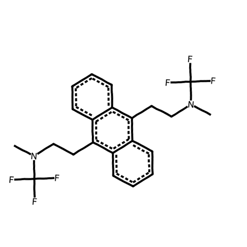 CN(CCc1c2ccccc2c(CCN(C)C(F)(F)F)c2ccccc12)C(F)(F)F